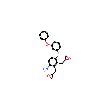 Nc1ccc(Oc2cccc(Oc3ccccc3)c2)c(CC2CO2)c1CC1CO1